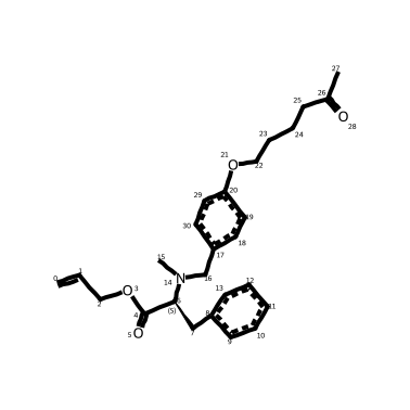 C=CCOC(=O)[C@H](Cc1ccccc1)N(C)Cc1ccc(OCCCCC(C)=O)cc1